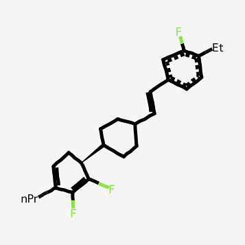 CCCC1=CC[C@@H](C2CCC(/C=C/c3ccc(CC)c(F)c3)CC2)C(F)=C1F